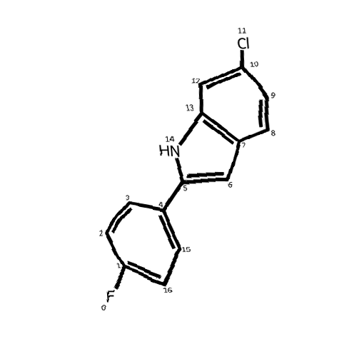 Fc1ccc(-c2cc3ccc(Cl)cc3[nH]2)cc1